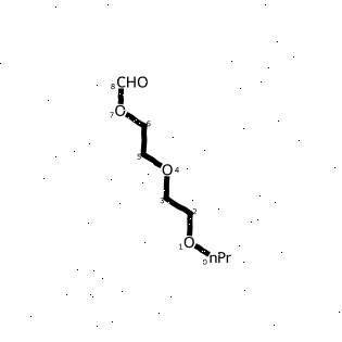 CCCOCCOCCOC=O